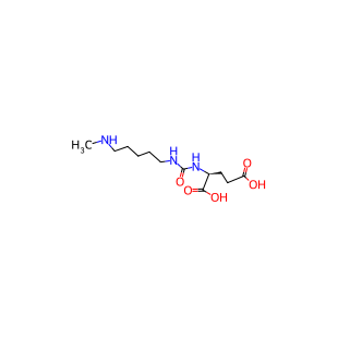 CNCCCCCNC(=O)N[C@@H](CCC(=O)O)C(=O)O